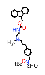 CN(CCCc1ccc(CN(C=O)OC(C)(C)C)cc1)CCNC(=O)OCC1c2ccccc2-c2ccccc21